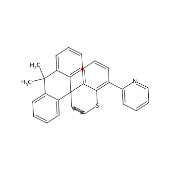 CC1(C)c2ccccc2C2(c3ccccc3Sc3c(-c4ccccn4)cccc32)c2ccccc21